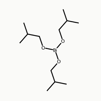 CC(C)C[O][Bi]([O]CC(C)C)[O]CC(C)C